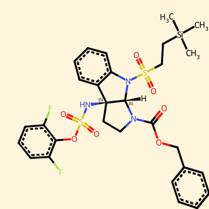 C[Si](C)(C)CCS(=O)(=O)N1c2ccccc2[C@@]2(NS(=O)(=O)Oc3c(F)cccc3F)CCN(C(=O)OCc3ccccc3)[C@@H]12